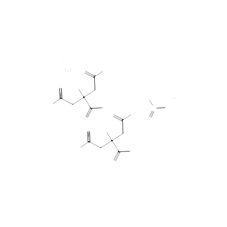 O=C(O)CC(O)(CC(=O)O)C(=O)O.O=C([O-])CC(O)(CC(=O)[O-])C(=O)[O-].O=S(O)O.[Na+].[Na+].[Na+]